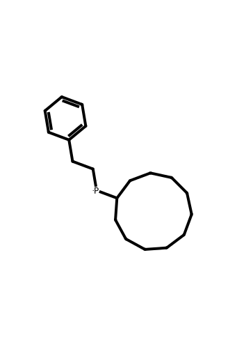 c1ccc(CC[P]C2CCCCCCCCCC2)cc1